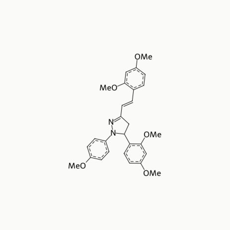 COc1ccc(N2N=C(C=Cc3ccc(OC)cc3OC)CC2c2ccc(OC)cc2OC)cc1